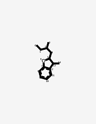 CCC(C)CC1Oc2ccccc2C1C